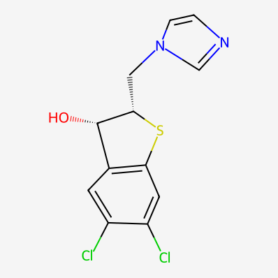 O[C@H]1c2cc(Cl)c(Cl)cc2S[C@H]1Cn1ccnc1